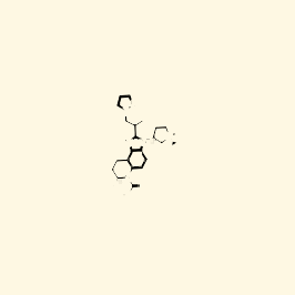 CC(Cn1cccn1)c1nc2c3c(ccc2n1[C@H]1CCS(=O)(=O)C1)N(C(=O)O)[C@@H](C)CC3